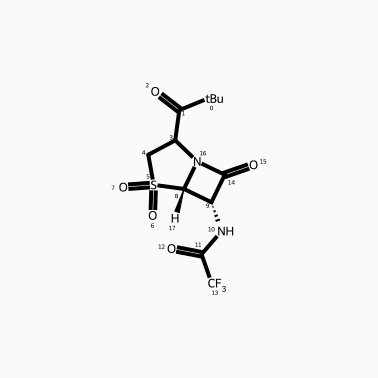 CC(C)(C)C(=O)C1CS(=O)(=O)[C@H]2[C@@H](NC(=O)C(F)(F)F)C(=O)N12